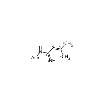 CC(=O)NC(=N)C=C(C)C